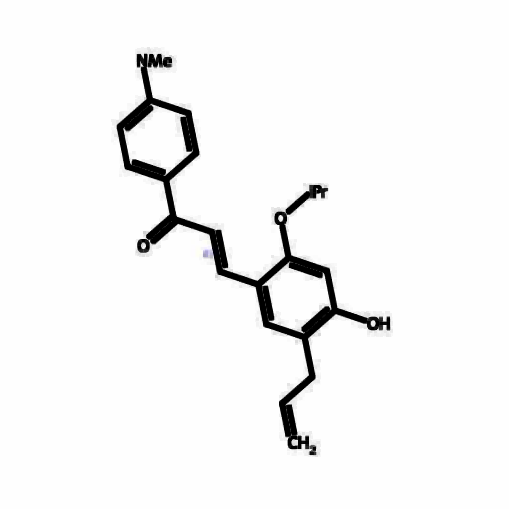 C=CCc1cc(/C=C/C(=O)c2ccc(NC)cc2)c(OC(C)C)cc1O